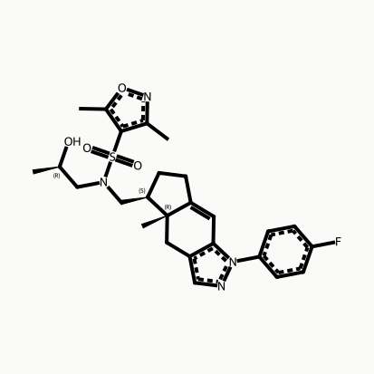 Cc1noc(C)c1S(=O)(=O)N(C[C@H]1CCC2=Cc3c(cnn3-c3ccc(F)cc3)C[C@@]21C)C[C@@H](C)O